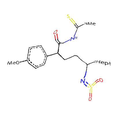 CCCCCCCC(CCC(C(=O)NC(=S)NC)c1ccc(OC)cc1)N=S(=O)=O